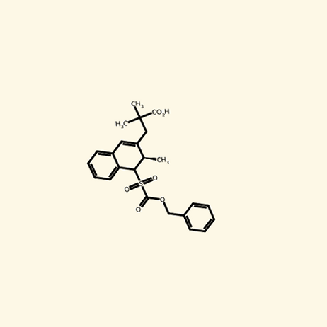 C[C@@H]1C(CC(C)(C)C(=O)O)=Cc2ccccc2C1S(=O)(=O)C(=O)OCc1ccccc1